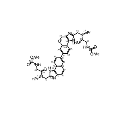 CCCN(Cc1nc2ccc3cc(-c4ccc5c(c4)OCc4nc(CN(CCC)C(O)CNC(=O)OC)[nH]c4-5)ccc3c2[nH]1)C(=O)CNC(=O)OC